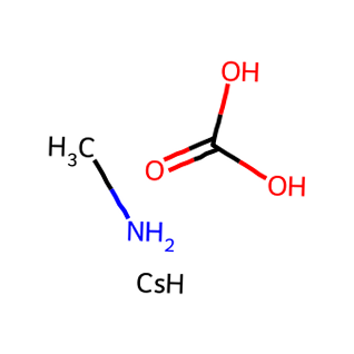 CN.O=C(O)O.[CsH]